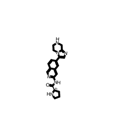 O=C(Nc1cc2cc(-c3cnc4n3CCNC4)ccc2cn1)[C@H]1CCCN1